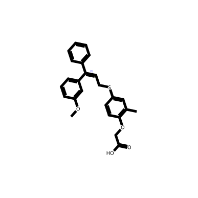 COc1cccc(/C(=C\CSc2ccc(OCC(=O)O)c(C)c2)c2ccccc2)c1